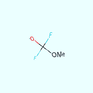 COC([O])(F)F